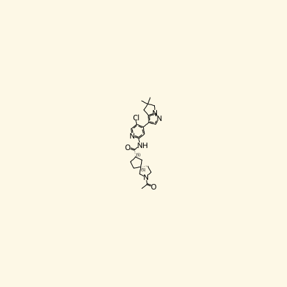 CC(=O)N1CC[C@@]2(CC[C@H](C(=O)Nc3cc(-c4cnn5c4CC(C)(C)C5)c(Cl)cn3)C2)C1